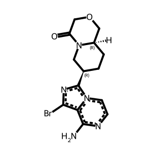 Nc1nccn2c([C@@H]3CC[C@@H]4COCC(=O)N4C3)nc(Br)c12